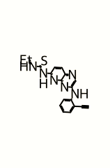 C#Cc1ccccc1Nc1cnc2ccc(NC(=S)NCC)nc2n1